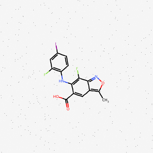 Cc1onc2c(F)c(Nc3ccc(I)cc3F)c(C(=O)O)cc12